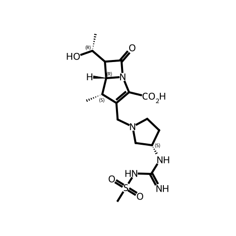 C[C@@H](O)C1C(=O)N2C(C(=O)O)=C(CN3CC[C@H](NC(=N)NS(C)(=O)=O)C3)[C@H](C)[C@H]12